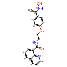 O=C(NCCOc1ccc(C(=S)NO)cc1)c1cccc2cccnc12